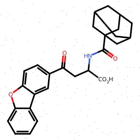 O=C(CC(NC(=O)C12CC3CC(CC(C3)C1)C2)C(=O)O)c1ccc2oc3ccccc3c2c1